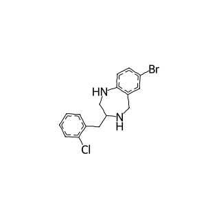 Clc1ccccc1CC1CNc2ccc(Br)cc2CN1